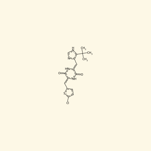 CC(C)(C)c1[nH]cnc1/C=c1\[nH]c(=O)/c(=C/c2ccc(Cl)s2)[nH]c1=O